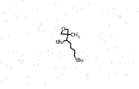 CC(C)(C)CCCCC(C(C)(C)C)C1(C)COC1